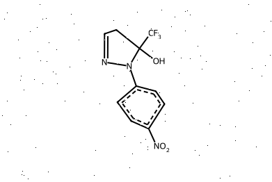 O=[N+]([O-])c1ccc(N2N=CCC2(O)C(F)(F)F)cc1